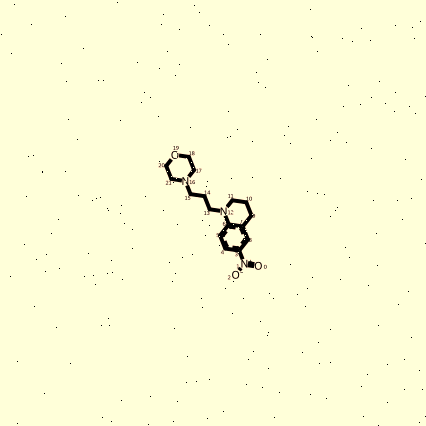 O=[N+]([O-])c1ccc2c(c1)CCCN2CCCN1CCOCC1